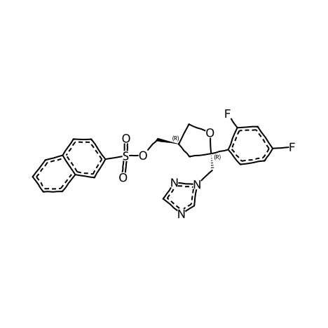 O=S(=O)(OC[C@H]1CO[C@@](Cn2cncn2)(c2ccc(F)cc2F)C1)c1ccc2ccccc2c1